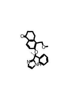 COCc1c(O[C@@](C)(c2ccccc2)c2ncc[nH]2)ccc2c1CCCC2=O